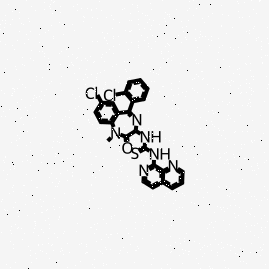 CN1C(=O)C(NC(=S)Nc2nccc3cccnc23)N=C(c2ccccc2Cl)c2cc(Cl)ccc21